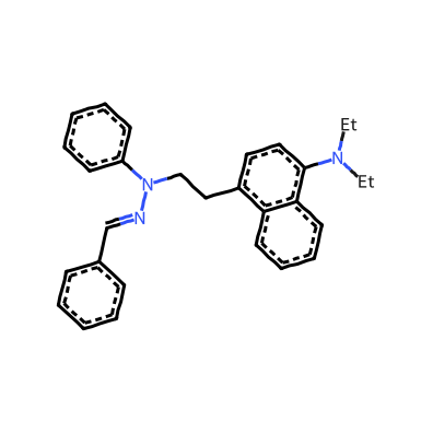 CCN(CC)c1ccc(CCN(N=Cc2ccccc2)c2ccccc2)c2ccccc12